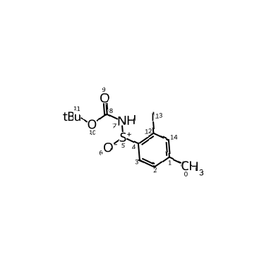 Cc1ccc([S+]([O-])NC(=O)OC(C)(C)C)c(I)c1